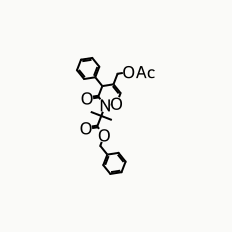 CC(=O)OCC1=CON(C(C)(C)C(=O)OCc2ccccc2)C(=O)C1c1ccccc1